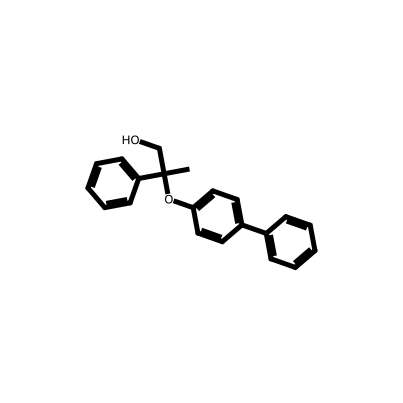 CC(CO)(Oc1ccc(-c2ccccc2)cc1)c1ccccc1